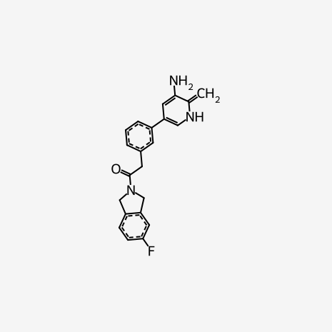 C=C1NC=C(c2cccc(CC(=O)N3Cc4ccc(F)cc4C3)c2)C=C1N